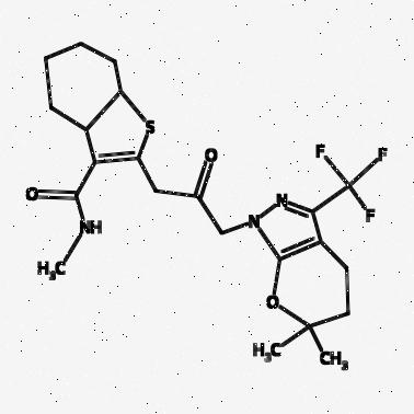 CNC(=O)C1=C(CC(=O)Cn2nc(C(F)(F)F)c3c2OC(C)(C)CC3)SC2CCCCC12